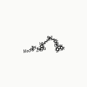 COCC(=O)N(C)CCCN(C)C(=O)c1ccc(NCCCCCC(=O)N(C)CCN2CCC(OC(=O)Nc3ccccc3-c3ccccc3)CC2)cc1Cl